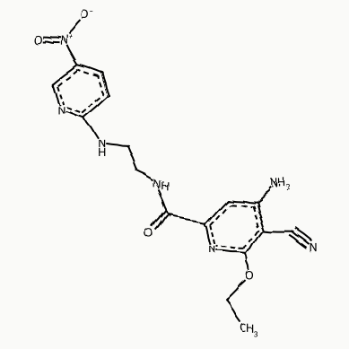 CCOc1nc(C(=O)NCCNc2ccc([N+](=O)[O-])cn2)cc(N)c1C#N